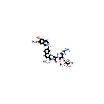 C=C(O)C(C)(C)O/N=C(\C(=O)NC1C(=O)N2C(C(=O)O)=C(/C=C\c3ccc(C[n+]4ccc5cc(O)c(OC)cc5c4)cc3)CSC12)c1csc(N)n1